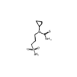 NC(=S)N(CCCS(N)(=O)=O)C1CC1